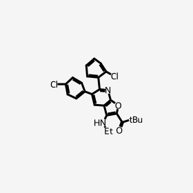 CCNc1c(C(=O)C(C)(C)C)oc2nc(-c3ccccc3Cl)c(-c3ccc(Cl)cc3)cc12